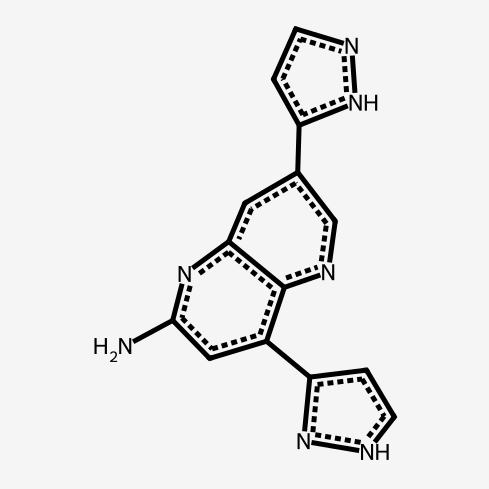 Nc1cc(-c2cc[nH]n2)c2ncc(-c3ccn[nH]3)cc2n1